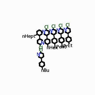 CCCCCCCc1ccccc1-c1ccc(Cl)nc1.CCCCCCc1ccc(-c2ccc(Cl)nc2)cc1.CCCCCc1ccc(-c2ccc(Cl)nc2)cc1.CCCCc1ccc(-c2ccc(Cl)nc2)cc1.CCCc1ccc(-c2ccc(Cl)nc2)cc1.CCc1ccc(-c2ccc(Cl)nc2)cc1